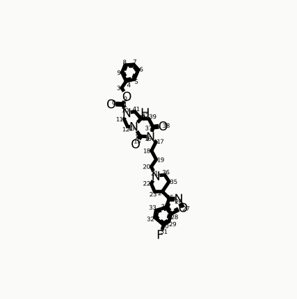 O=C(OCc1ccccc1)N1CCN2C(=O)N(CCCCN3CCC(c4noc5cc(F)ccc45)CC3)C(=O)C[C@@H]2C1